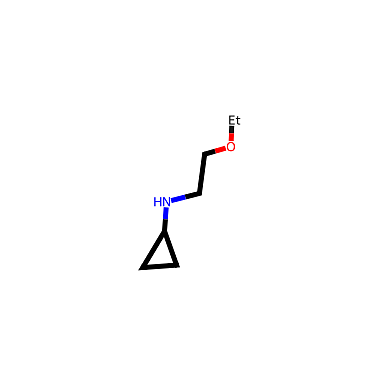 CCOCCNC1CC1